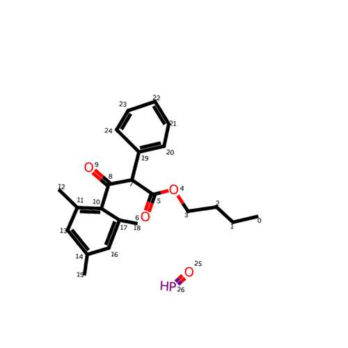 CCCCOC(=O)C(C(=O)c1c(C)cc(C)cc1C)c1ccccc1.O=P